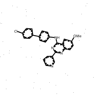 COc1ccc2nc(-c3cccnc3)nc(Nc3ccc(-c4ccc(Cl)cc4)cc3)c2c1